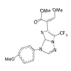 COC=C(C(=O)OC)C1=C(C(F)(F)F)N2N=CN(c3ccc(OC)cc3)C2S1